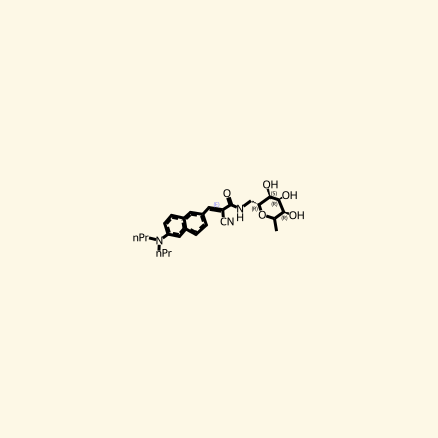 CCCN(CCC)c1ccc2cc(/C=C(\C#N)C(=O)NC[C@H]3OC(C)[C@H](O)[C@@H](O)[C@@H]3O)ccc2c1